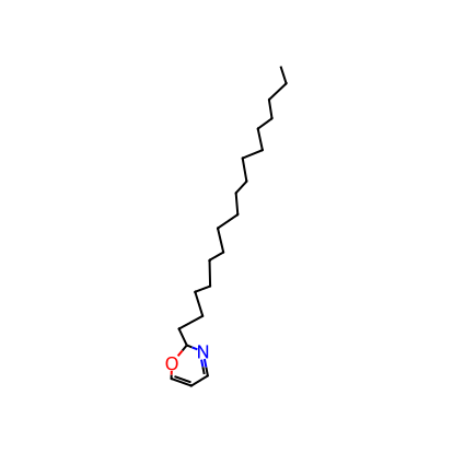 CCCCCCCCCCCCCCCCCC1N=CC=CO1